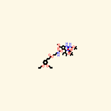 C=CCOc1ccc(/C=C/C(=O)OCCCNC(=O)OC2C(C(=O)OC)CC(NC(=NC(=O)OC(C)(C)C)NC(=O)OC(C)(C)C)C2[C@@H](NC(C)=O)C(CC)CC)cc1OCC=C